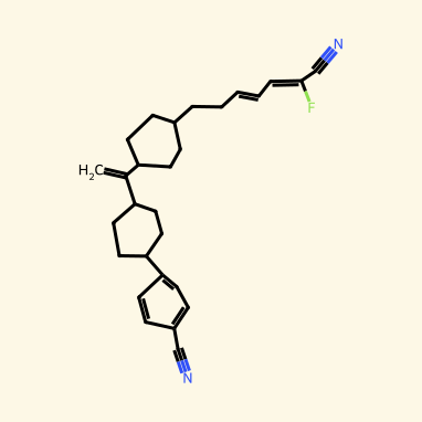 C=C(C1CCC(CCC=CC=C(F)C#N)CC1)C1CCC(c2ccc(C#N)cc2)CC1